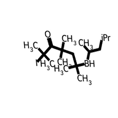 CC(C)CC(C)BC(C)(C)CC(C)(C)C(=O)C(C)(C)I